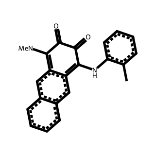 CNC1=c2cc3ccccc3cc2=C(Nc2ccccc2C)C(=O)C1=O